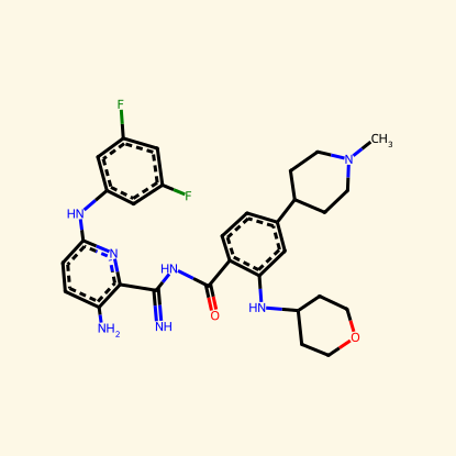 CN1CCC(c2ccc(C(=O)NC(=N)c3nc(Nc4cc(F)cc(F)c4)ccc3N)c(NC3CCOCC3)c2)CC1